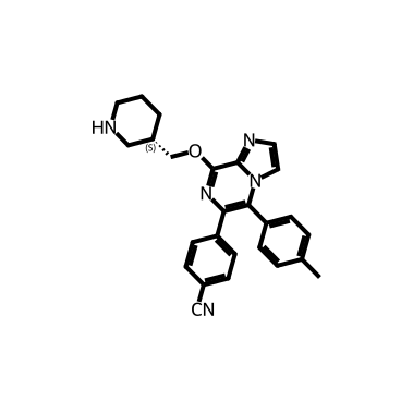 Cc1ccc(-c2c(-c3ccc(C#N)cc3)nc(OC[C@H]3CCCNC3)c3nccn23)cc1